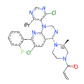 C=CC(=O)N1CCN(C2=NCN(c3c(Cl)ncnc3C(C)C)c3nc(-c4ccccc4F)c(Cl)cc32)[C@@H](C)C1